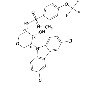 CN=S(=O)(N[C@H]1COC[C@@H](n2c3ccc(Cl)cc3c3cc(Cl)ccc32)[C@H]1O)c1ccc(OC(F)(F)F)cc1